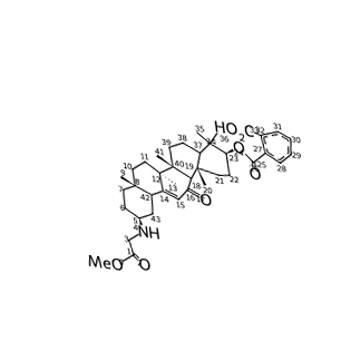 COC(=O)CN[C@H]1CC[C@]2(C)CC[C@]3(C)C(=CC(=O)C4[C@@]5(C)CC[C@H](OC(=O)c6ccccc6C(=O)O)C(C)(C)C5CC[C@]43C)C2C1